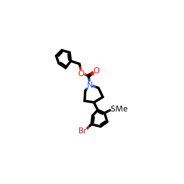 CSc1ccc(Br)cc1C1CCN(C(=O)OCc2ccccc2)CC1